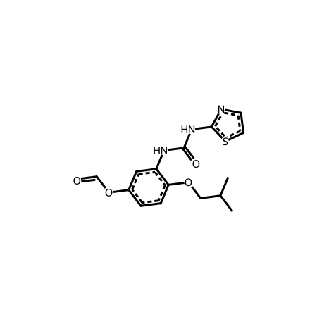 CC(C)COc1ccc(OC=O)cc1NC(=O)Nc1nccs1